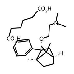 CN(C)CCO[C@]1(c2ccccc2)C[C@H]2CC[C@]1(C)C2(C)C.O=C(O)CCCCC(=O)O